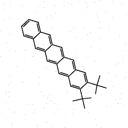 CC(C)(C)c1cc2cc3cc4cc5ccccc5cc4cc3cc2cc1C(C)(C)C